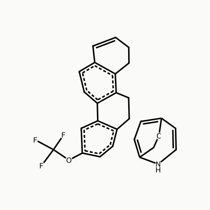 C1=CC2=CC=C(CC2)N1.FC(F)(F)Oc1ccc2c(c1)-c1ccc3c(c1CC2)CCC=C3